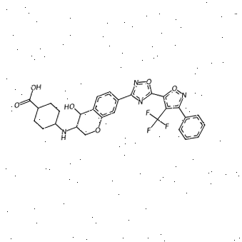 O=C(O)C1CCC(NC2COc3cc(-c4noc(-c5onc(-c6ccccc6)c5C(F)(F)F)n4)ccc3C2O)CC1